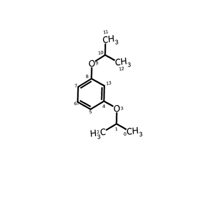 CC(C)Oc1c[c]cc(OC(C)C)c1